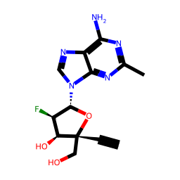 C#C[C@]1(CO)O[C@@H](n2cnc3c(N)nc(C)nc32)[C@H](F)[C@@H]1O